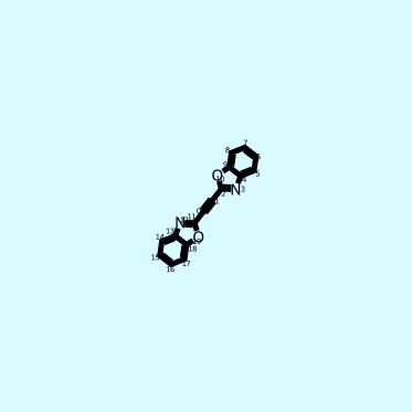 C(#Cc1nc2ccccc2o1)c1nc2ccccc2o1